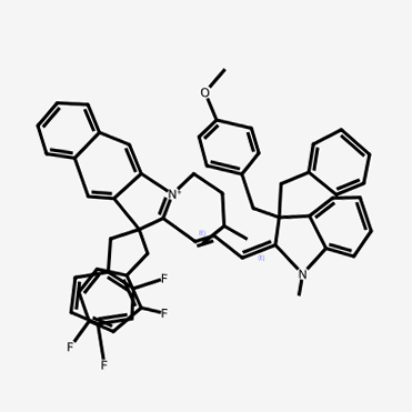 COc1ccc(CC2(Cc3ccccc3)/C(=C\C=C\C3=[N+](CCC(C)C)c4cc5ccccc5cc4C3(Cc3ccc(F)cc3F)Cc3ccc(F)cc3F)N(C)c3ccccc32)cc1